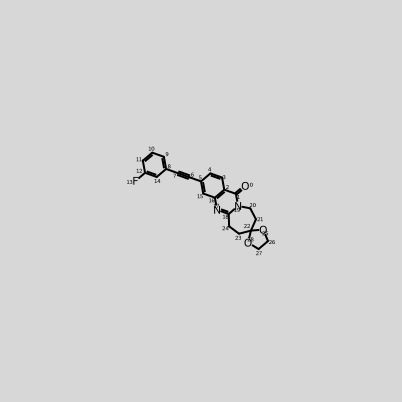 O=c1c2ccc(C#Cc3cccc(F)c3)cc2nc2n1CCC1(CC2)OCCO1